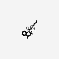 CCCCONC(=O)N1c2ccccc2C(C)=CC1(C)C